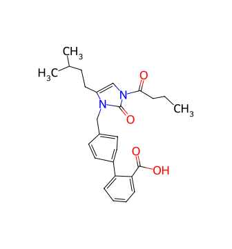 CCCC(=O)n1cc(CCC(C)C)n(Cc2ccc(-c3ccccc3C(=O)O)cc2)c1=O